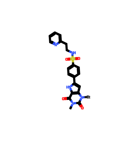 CCn1c(=O)n(C)c(=O)c2[nH]c(-c3ccc(S(=O)(=O)NCCc4ccccn4)cc3)cc21